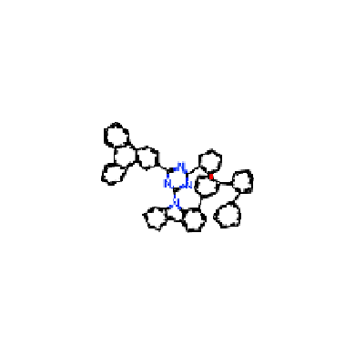 c1ccc(-c2nc(-c3ccc4c5ccccc5c5ccccc5c4c3)nc(-n3c4ccccc4c4cccc(-c5cccc(-c6ccccc6-c6ccccc6)c5)c43)n2)cc1